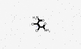 NC(=O)/C(Cl)=C(/Cl)C(N)=O